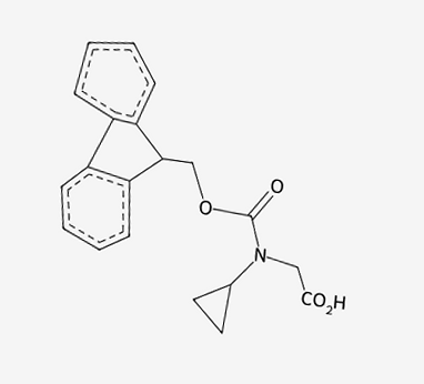 O=C(O)CN(C(=O)OCC1c2ccccc2-c2ccccc21)C1CC1